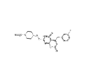 CCOC(=O)N1CCC(=NOc2nc3oc(=O)cc(Cc4cccc(F)c4)c3c(=O)[nH]2)CC1